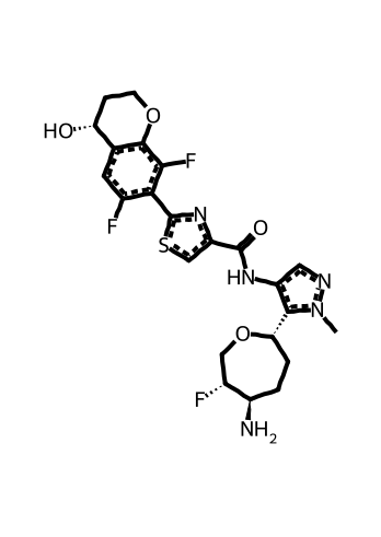 Cn1ncc(NC(=O)c2csc(-c3c(F)cc4c(c3F)OCC[C@H]4O)n2)c1[C@@H]1CC[C@@H](N)[C@H](F)CO1